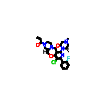 C=CC(=O)N1CCN2C(=O)c3c(N4CCN(C)C[C@@H]4C)nc(-c4ccccc4F)c(Cl)c3OC[C@H]2C1